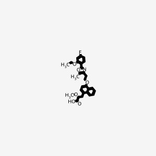 CCOc1cc(F)ccc1-c1nc(CCOc2ccc(CC(OC)C(=O)O)c3ccccc23)c(C)o1